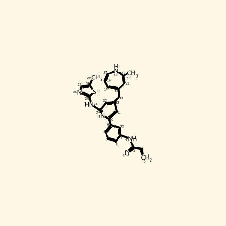 C=CC(=O)Nc1cccc(-c2cc(CC3=CC=CNC(C)=C3)cc(Nc3ncc(C)s3)n2)c1